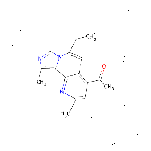 CCc1cc2c(C(C)=O)cc(C)nc2c2c(C)ncn12